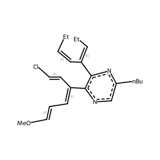 CC/C=C\C(=C/CC)c1nc(CCCC)cnc1C(/C=C/Cl)=C/C=C/OC